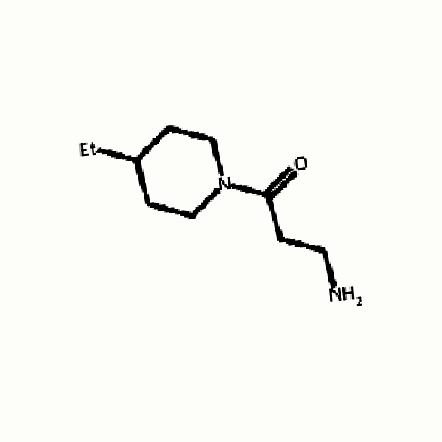 CCC1CCN(C(=O)CCN)CC1